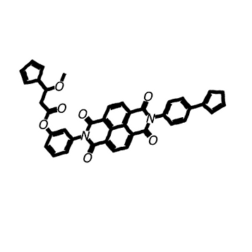 COC(CC(=O)Oc1cccc(N2C(=O)c3ccc4c5c(ccc(c35)C2=O)C(=O)N(c2ccc(C3=CCC=C3)cc2)C4=O)c1)C1C=CC=C1